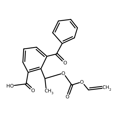 C=COC(=O)OC(C)c1c(C(=O)O)cccc1C(=O)c1ccccc1